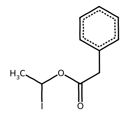 CC(I)OC(=O)Cc1ccccc1